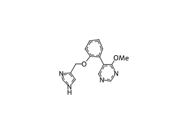 COc1ncncc1-c1ccccc1OCc1c[nH]cn1